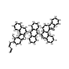 C=C/C=C\c1ccc2oc3c(-c4c5ccccc5c(-c5nc6ccccc6c6c5ccc5c7ccccc7sc56)c5ccccc45)cc4ccccc4c3c2c1C